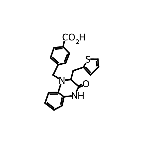 O=C(O)c1ccc(CN2c3ccccc3NC(=O)C2Cc2cccs2)cc1